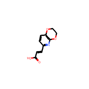 O=C(O)C=Cc1ccc2c(n1)OCCO2